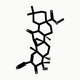 COC(=O)[C@]12CCC(C)(C)CC1C1C(=O)C=C3[C@@]4(C)C=C(C#N)C(=O)[C@@](C)(O)[C@@H]4CC[C@@]3(C)[C@]1(C)CC2